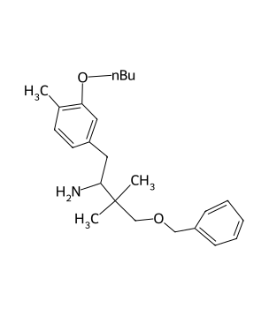 CCCCOc1cc(CC(N)C(C)(C)COCc2ccccc2)ccc1C